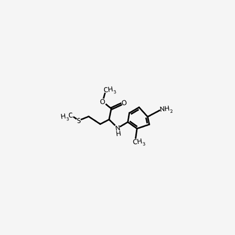 COC(=O)C(CCSC)Nc1ccc(N)cc1C